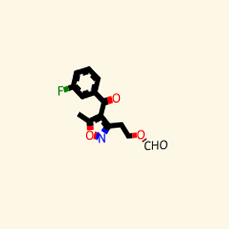 Cc1onc(CCOC=O)c1C(=O)c1cccc(F)c1